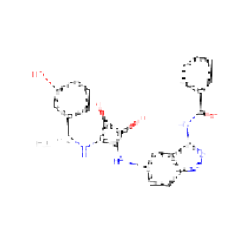 C[C@@H](Nc1c(Nc2ccc3[nH]nc(NC(=O)c4ccccc4)c3c2)c(=O)c1=O)c1cccc(O)c1